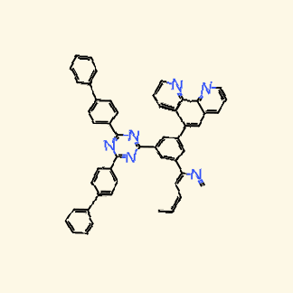 C=N/C(=C\C=C/C)c1cc(-c2nc(-c3ccc(-c4ccccc4)cc3)nc(-c3ccc(-c4ccccc4)cc3)n2)cc(-c2cc3cccnc3c3ncccc23)c1